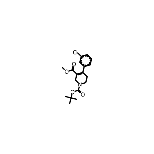 COC(=O)C1=C(c2cccc(Cl)c2)CCN(C(=O)OC(C)(C)C)C1